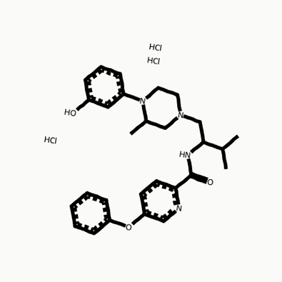 CC(C)C(CN1CCN(c2cccc(O)c2)C(C)C1)NC(=O)c1ccc(Oc2ccccc2)cn1.Cl.Cl.Cl